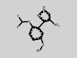 CC(C)Sc1ccc(OC(F)F)c(-c2n[nH]cc2[N+](=O)[O-])c1